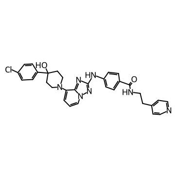 O=C(NCCc1ccncc1)c1ccc(Nc2nc3c(N4CCC(O)(c5ccc(Cl)cc5)CC4)cccn3n2)cc1